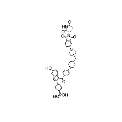 O=C1CCC(N2C(=O)c3ccc(N4CCN(CC5CCN(c6ccc(C(=O)c7c(-c8ccc(B(O)O)cc8)sc8cc(O)ccc78)cc6)CC5)CC4)cc3C2=O)C(=O)N1